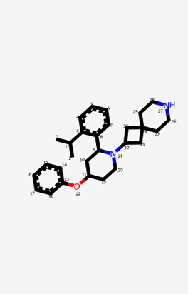 CC(C)c1ccccc1C1CC(Oc2ccccc2)CCN1C1CC2(CCNCC2)C1